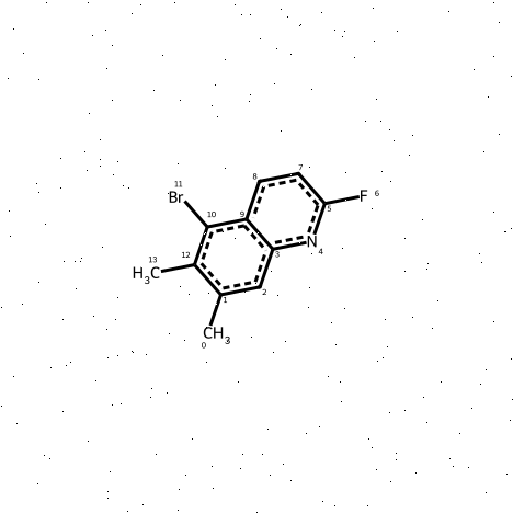 Cc1cc2nc(F)ccc2c(Br)c1C